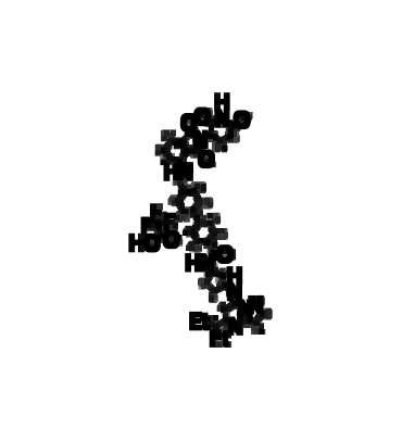 CCC(CC)c1cc(N[C@H]2CC[C@H](NC(=O)c3ccc(-c4ccc(CNc5cccc6c5C(=O)N(C5CCC(=O)NC5=O)C6=O)cc4)cc3)C2)n2nccc2n1.O=C(O)C(F)(F)F